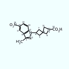 Cc1nn(C2CC3(C2)CN(C(=O)O)C3)c2ccc([N+](=O)[O-])cc12